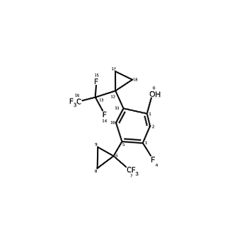 Oc1cc(F)c(C2(C(F)(F)F)CC2)cc1C1(C(F)(F)C(F)(F)F)CC1